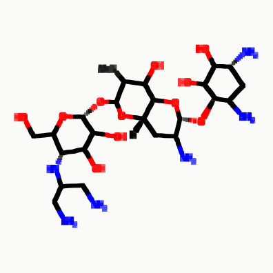 CNC1C(O[C@H]2OC(CO)[C@@H](NC(CN)CN)C(O)C2O)O[C@H]2CC(N)[C@@H](O[C@@H]3C(N)C[C@@H](N)C(O)C3O)OC2C1O